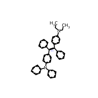 CCN(CC)c1ccc(/C(=C(\c2ccccc2)c2ccc(N(c3ccccc3)c3ccccc3)cc2)c2ccccc2)cc1